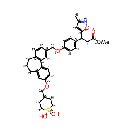 COC(=O)CC(c1ccc(OCc2ccc3c(c2)-c2ccc(OCC4CCS(O)(O)CC4)cc2CCC3)cc1)c1cc(C)no1